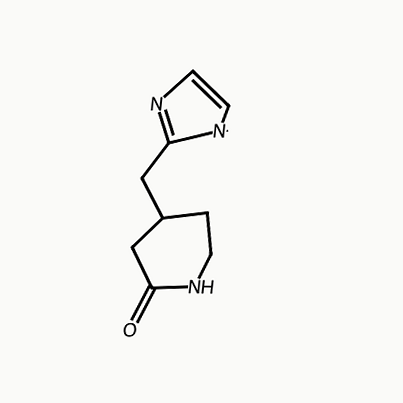 O=C1CC(CC2=NC=C[N]2)CCN1